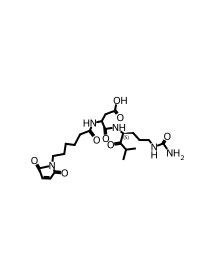 CC(C)C(=O)[C@H](CCCNC(N)=O)NC(=O)C(CC(=O)O)NC(=O)CCCCCN1C(=O)C=CC1=O